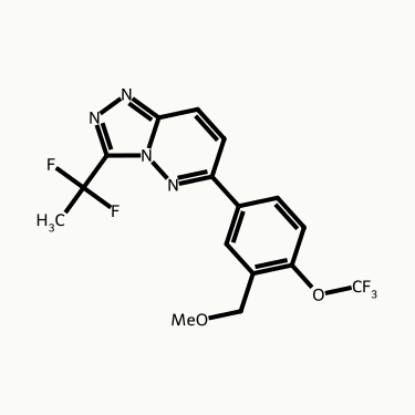 COCc1cc(-c2ccc3nnc(C(C)(F)F)n3n2)ccc1OC(F)(F)F